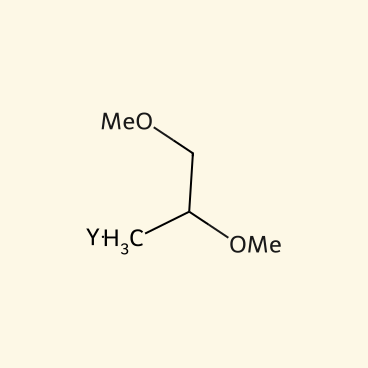 COCC(C)OC.[Y]